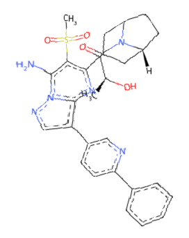 C[C@H](O)C(=O)N1C2CC[C@@H]1CC(c1nc3c(-c4ccc(-c5ccccc5)nc4)cnn3c(N)c1S(C)(=O)=O)C2